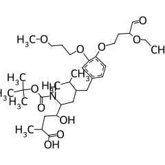 CCOC(C=O)CCOc1ccc(CC(CC(NC(=O)OC(C)(C)C)C(O)CC(C)C(=O)O)C(C)C)cc1OCCCOC